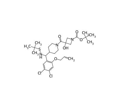 C=CCOc1cc(Cl)c(Cl)cc1C(NSC(C)(C)C)C1CCN(C(=O)C2(O)CN(C(=O)OC(C)(C)C)C2)CC1